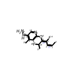 C/C=C\C(F)=C(\Oc1cc(C)c(NN)cn1)C(C)F